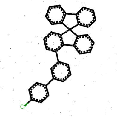 Clc1ccc(-c2cccc(-c3cccc4c3-c3ccccc3C43c4ccccc4-c4ccccc43)c2)cc1